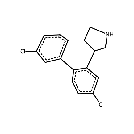 Clc1cccc(-c2ccc(Cl)cc2C2CCNC2)c1